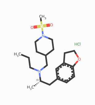 CCCN(CC1CCN(S(C)(=O)=O)CC1)[C@@H](C)Cc1ccc2c(c1)CCO2.Cl